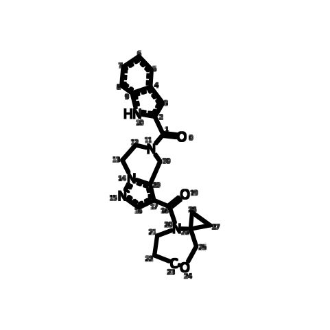 O=C(c1cc2ccccc2[nH]1)N1CCn2ncc(C(=O)N3CCCOCC34CC4)c2C1